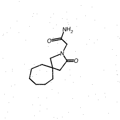 NC(=O)CN1CC2(CCCCCC2)CC1=O